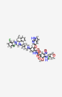 CC(C)c1ccccc1[C@@H]1CN(Cc2c(F)cccc2F)CCN1C1CC2(CCN(c3ccc(C(=O)NS(=O)(=O)C4=C5OCOC5C(NCC5(F)CCOCC5)C(N=O)=C4)c(Oc4cnc5[nH]ccc5c4)c3)CC2)C1